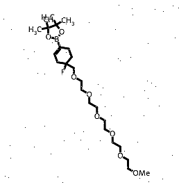 COCCOCCOCCOCCOCCOCC1(F)CC=C(B2OC(C)(C)C(C)(C)O2)CC1